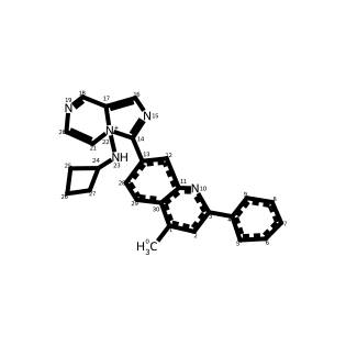 Cc1cc(-c2ccccc2)nc2cc(C3=NC=C4C=NC=C[N+]43NC3CCC3)ccc12